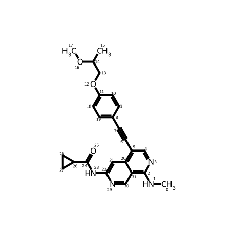 CNc1ncc(C#Cc2ccc(OCC(C)OC)cc2)c2cc(NC(=O)C3CC3)ncc12